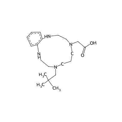 CC(C)(C)CN1CCCN(CC(=O)O)CCNc2ccccc2NCC1